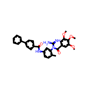 COc1cc(C(=O)N(C(=N)N)c2cc(NC(=O)c3ccc(-c4ccccc4)cc3)ccc2C)cc(OC)c1OC